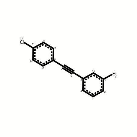 CCc1c[c]cc(C#Cc2ccc(Cl)cc2)c1